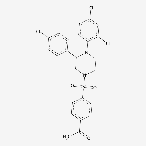 CC(=O)c1ccc(S(=O)(=O)N2CCN(c3ccc(Cl)cc3Cl)C(c3ccc(Cl)cc3)C2)cc1